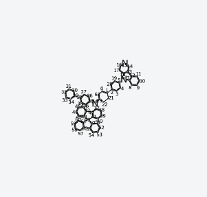 C1=C(c2ccc(-n3c4ccccc4c4cnccc43)cc2)CCC(N(c2ccc(-c3ccccc3)cc2)c2cccc3c2-c2ccccc2C32c3ccccc3-c3ccccc32)=C1